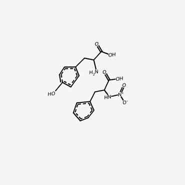 NC(Cc1ccc(O)cc1)C(=O)O.O=C(O)C(Cc1ccccc1)N[N+](=O)[O-]